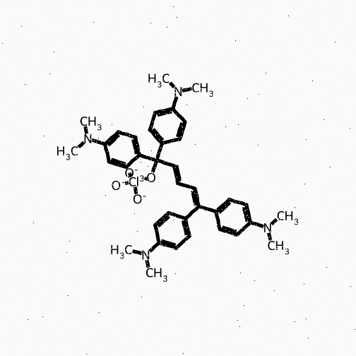 CN(C)c1ccc(C(=CC=CC(O[Cl+3]([O-])([O-])[O-])(c2ccc(N(C)C)cc2)c2ccc(N(C)C)cc2)c2ccc(N(C)C)cc2)cc1